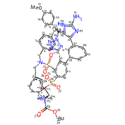 COc1ccc(CN(Cc2ccc(OC)cc2)S(=O)(=O)c2c(S(=O)(=O)CCNC(=O)OC(C)(C)C)ccc(-c3cccc(-c4c[nH]c(N)n4)c3)c2-c2nnn(Cc3ccc(OC)cc3)n2)cc1